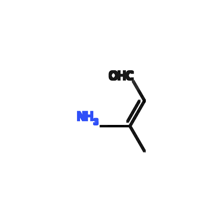 CC(C)=CC=O.N